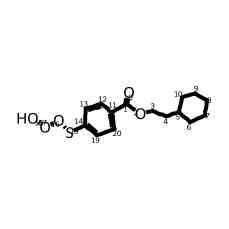 O=C(OCCC1CCCCC1)c1ccc(SOOO)cc1